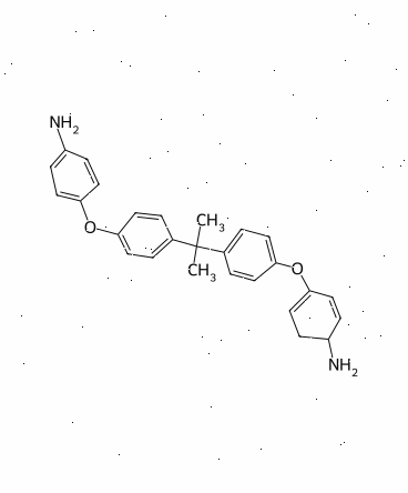 CC(C)(c1ccc(OC2=CCC(N)C=C2)cc1)c1ccc(Oc2ccc(N)cc2)cc1